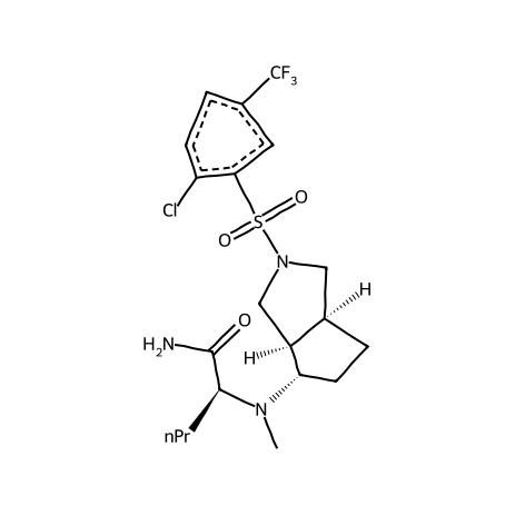 CCC[C@@H](C(N)=O)N(C)[C@H]1CC[C@@H]2CN(S(=O)(=O)c3cc(C(F)(F)F)ccc3Cl)C[C@@H]21